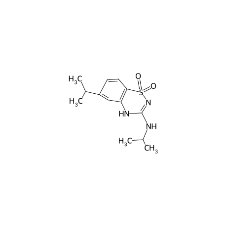 CC(C)NC1=NS(=O)(=O)c2ccc(C(C)C)cc2N1